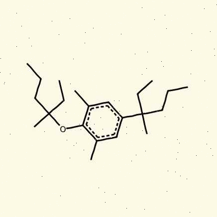 CCCC(C)(CC)Oc1c(C)cc(C(C)(CC)CCC)cc1C